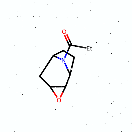 CCC(=O)N1C2CCC1C1OC1C2